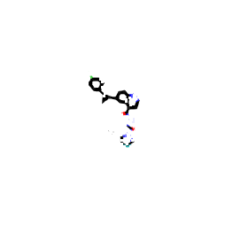 N#C[C@@H]1CC(F)(F)CN1C(=O)CNC(=O)c1ccnc2ccc(C3CC3c3ccc(Cl)cc3)cc12